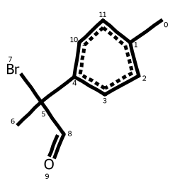 Cc1ccc(C(C)(Br)C=O)cc1